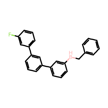 Fc1cccc(-c2cccc(-c3cccc(BCc4ccccc4)c3)c2)c1